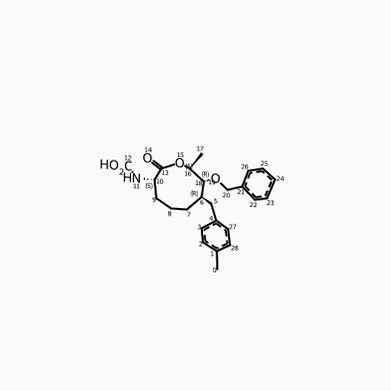 Cc1ccc(C[C@H]2CCC[C@H](NC(=O)O)C(=O)O[C@@H](C)[C@@H]2OCc2ccccc2)cc1